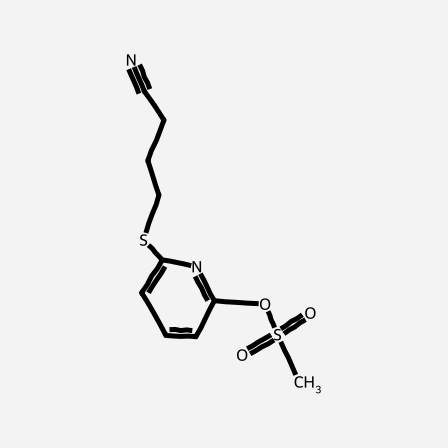 CS(=O)(=O)Oc1cccc(SCCCC#N)n1